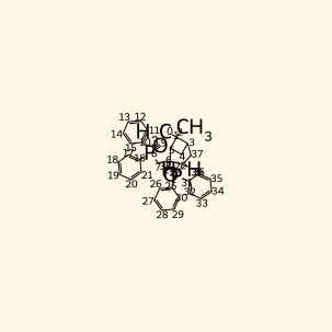 CC1(C)C2CC1[C@@H](CP(=O)(c1ccccc1)c1ccccc1)[C@@H](P(=O)(c1ccccc1)c1ccccc1)C2